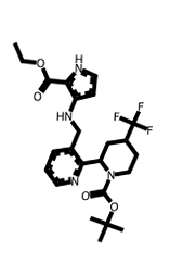 CCOC(=O)c1[nH]ccc1NCc1cccnc1C1CC(C(F)(F)F)CCN1C(=O)OC(C)(C)C